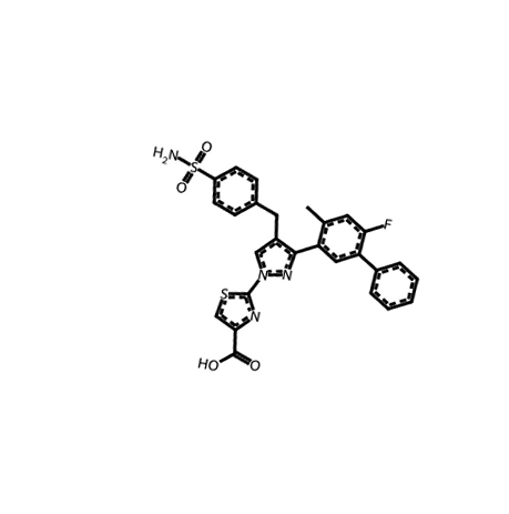 Cc1cc(F)c(-c2ccccc2)cc1-c1nn(-c2nc(C(=O)O)cs2)cc1Cc1ccc(S(N)(=O)=O)cc1